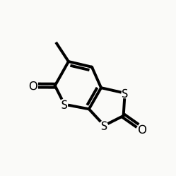 Cc1cc2sc(=O)sc2sc1=O